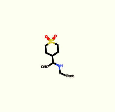 CCCC(C)CNC(C=O)C1CCS(=O)(=O)CC1